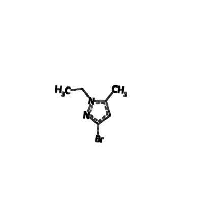 CCn1nc(Br)cc1C